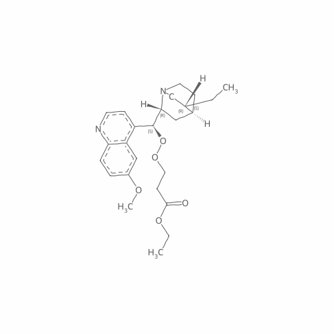 CCOC(=O)CCOO[C@@H](c1ccnc2ccc(OC)cc12)[C@H]1C[C@@H]2CCN1C[C@@H]2CC